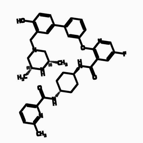 Cc1cccc(C(=O)N[C@H]2CC[C@H](NC(=O)c3cc(F)cnc3Oc3cccc(-c4ccc(O)c(CN5C[C@@H](C)N[C@@H](C)C5)c4)c3)CC2)n1